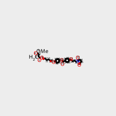 C=C(CC(=O)OC)C(=O)OCCCCCCOc1ccc(OC(=O)c2ccc(OCCCN3C(=O)C=CC3=O)cc2)cc1